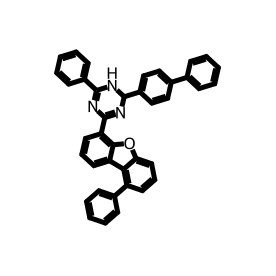 c1ccc(C2=NC(c3cccc4c3oc3cccc(-c5ccccc5)c34)=NC(c3ccc(-c4ccccc4)cc3)N2)cc1